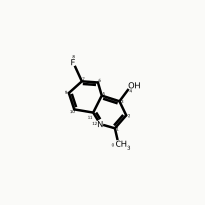 Cc1cc(O)c2cc(F)ccc2n1